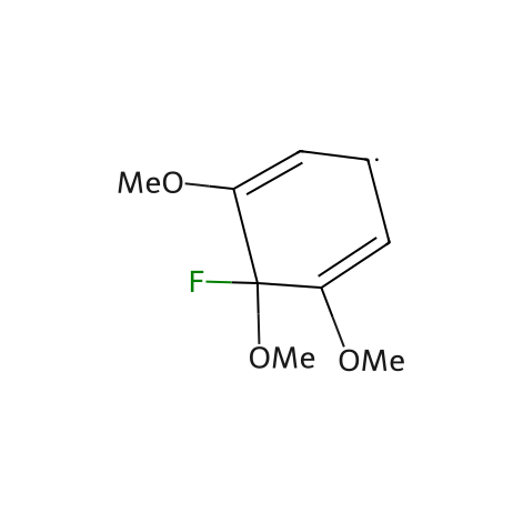 COC1=C[CH]C=C(OC)C1(F)OC